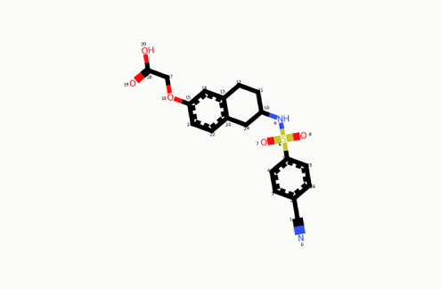 N#Cc1ccc(S(=O)(=O)NC2CCc3cc(OCC(=O)O)ccc3C2)cc1